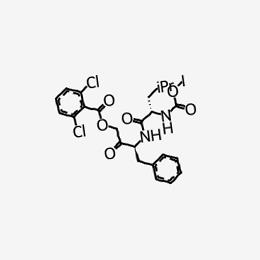 CC(C)C[C@H](NC(=O)OI)C(=O)N[C@@H](Cc1ccccc1)C(=O)COC(=O)c1c(Cl)cccc1Cl